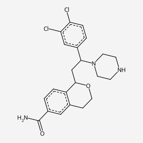 NC(=O)c1ccc2c(c1)CCOC2CC(c1ccc(Cl)c(Cl)c1)N1CCNCC1